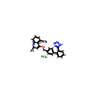 CCc1cc(OCc2ccc(-c3ccccc3-c3nnn[nH]3)cc2)c2c(C#N)cccc2n1.Cl